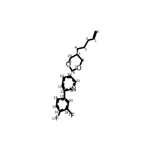 C=CCCC[C@H]1CO[C@H](c2ccc(-c3ccc(F)c(F)c3)nc2)OC1